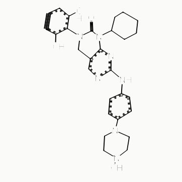 Cc1c#ccc(C)c1N1Cc2cnc(Nc3ccc(N4CCN(C)CC4)cc3)nc2N(C2CCCCC2)C1=O